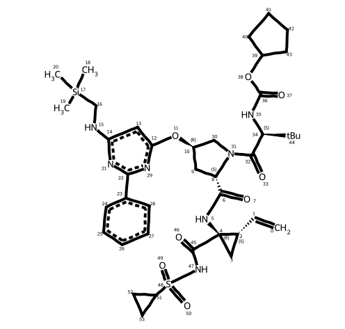 C=C[C@@H]1C[C@]1(NC(=O)[C@@H]1C[C@@H](Oc2cc(NC[Si](C)(C)C)nc(-c3ccccc3)n2)CN1C(=O)[C@@H](NC(=O)OC1CCCC1)C(C)(C)C)C(=O)NS(=O)(=O)C1CC1